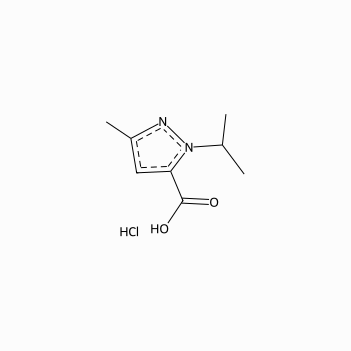 Cc1cc(C(=O)O)n(C(C)C)n1.Cl